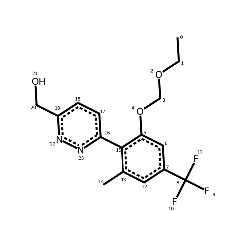 CCOCOc1cc(C(F)(F)F)cc(C)c1-c1ccc(CO)nn1